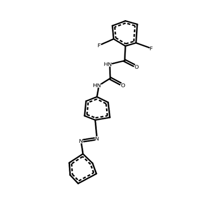 O=C(NC(=O)c1c(F)cccc1F)Nc1ccc(N=Nc2ccccc2)cc1